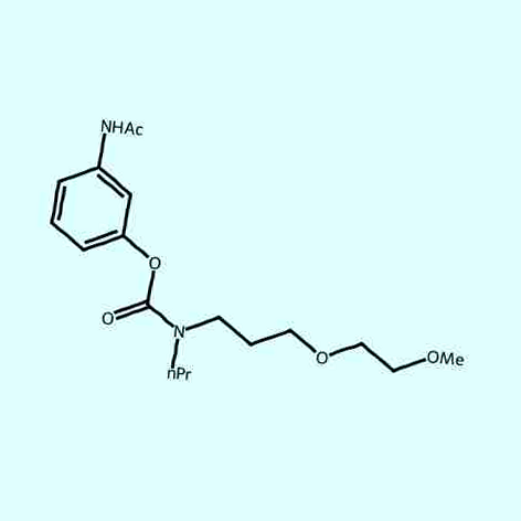 CCCN(CCCOCCOC)C(=O)Oc1cccc(NC(C)=O)c1